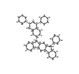 c1ccc(-c2nc(-c3ccccc3)c3ccc(-n4c5ccccc5c5cc6c7ccccc7n(-c7ccccc7)c6cc54)cc3n2)cc1